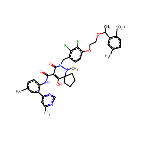 Cc1ccc(S(=O)(=O)O)c(C(C)OCCOc2ccc(CN3C(=O)C(C(=O)Nc4ccc(C(F)(F)F)cc4-c4cc(C(F)(F)F)ncn4)=C(O)C4(CCCC4)N3C)c(F)c2F)c1